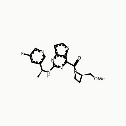 COC[C@H]1CCN1C(=O)c1nc(N[C@@H](C)c2cncc(F)c2)nc2ccsc12